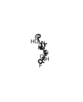 Cc1cn2c(-c3cnn(CC(=O)Nc4cccc(F)c4C)c3)cnc2c(NCC(O)c2ccccn2)n1